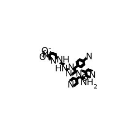 N#Cc1ccc(-c2nc(NCCNc3ccc([N+](=O)[O-])cn3)ncc2N(Cc2ccncc2)C(C(N)=O)c2ccncc2)cc1